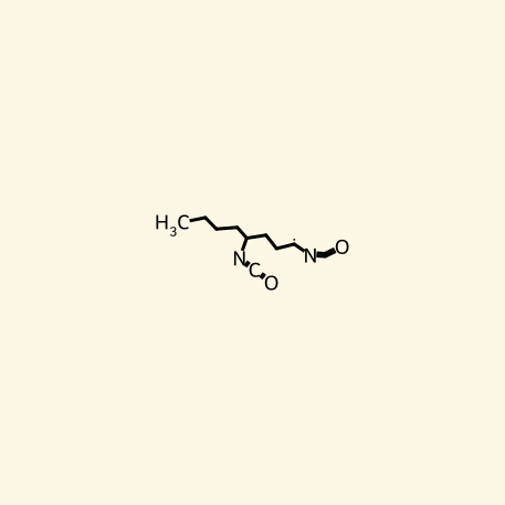 CCCCC(CC[CH]N=C=O)N=C=O